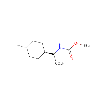 CC(C)(C)OC(=O)NC(C(=O)O)[C@H]1CC[C@H](C)CC1